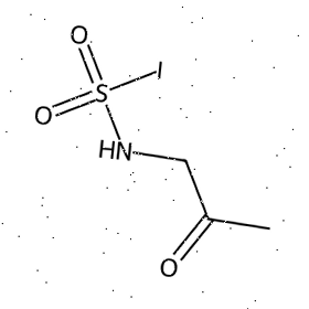 CC(=O)CNS(=O)(=O)I